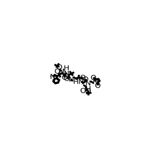 C/C(=C\CN(C)C(=O)C(NC(=O)[C@@H](N(C)C(=O)OC(C)(C)C)C(C)(C)c1cn(C)c2ccccc12)C(C)(C)C)C(=O)N[C@@H](CCC(=O)OC(C)(C)C)C(=O)NCCN1C(=O)C=CC1=O